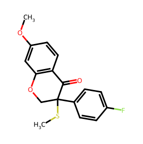 COc1ccc2c(c1)OCC(SC)(c1ccc(F)cc1)C2=O